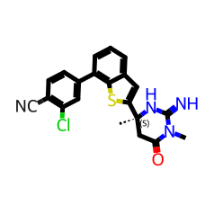 CN1C(=N)N[C@](C)(c2cc3cccc(-c4ccc(C#N)c(Cl)c4)c3s2)CC1=O